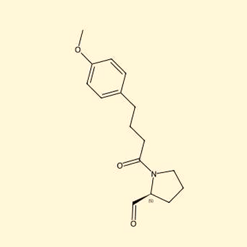 COc1ccc(CCCC(=O)N2CCC[C@H]2C=O)cc1